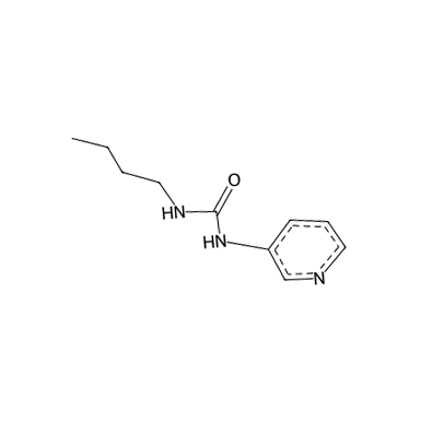 CCCCNC(=O)Nc1cccnc1